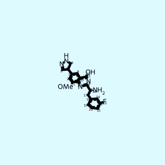 COc1cc(C2C=NNC2)cc2c(O)nc([C@H](N)Cc3cccc(F)c3)nc12